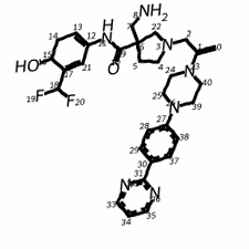 C=C(CN1CCC(CN)(C(=O)NC2=CCC(O)C(C(F)F)=C2)C1)N1CCN(c2ccc(-c3ncccn3)cc2)CC1